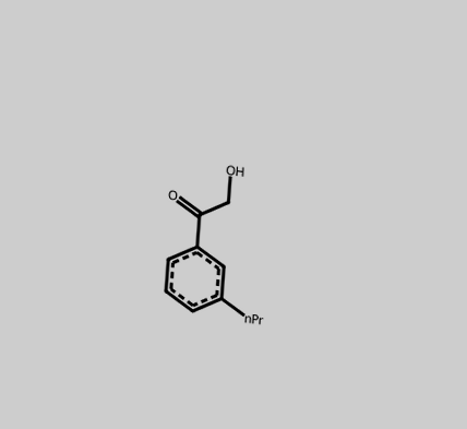 CCCc1cccc(C(=O)CO)c1